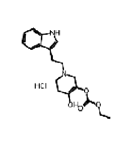 CCOC(=O)OC1=C(O)CCN(CCc2c[nH]c3ccccc23)C1.Cl